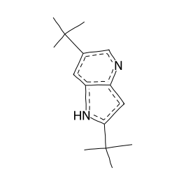 CC(C)(C)c1cnc2cc(C(C)(C)C)[nH]c2c1